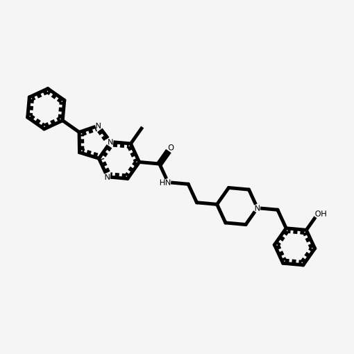 Cc1c(C(=O)NCCC2CCN(Cc3ccccc3O)CC2)cnc2cc(-c3ccccc3)nn12